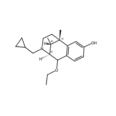 CCOC1c2ccc(O)cc2[C@@]2(C)CCN(CC3CC3)[C@H]1[C@@H]2C